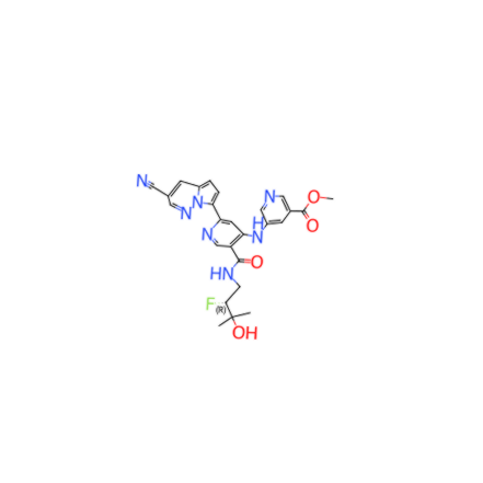 COC(=O)c1cncc(Nc2cc(-c3ccc4cc(C#N)cnn34)ncc2C(=O)NC[C@@H](F)C(C)(C)O)c1